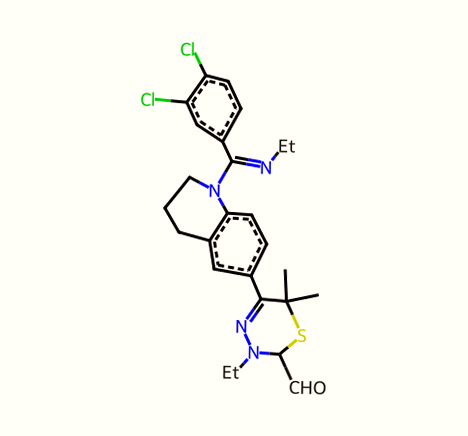 CCN=C(c1ccc(Cl)c(Cl)c1)N1CCCc2cc(C3=NN(CC)C(C=O)SC3(C)C)ccc21